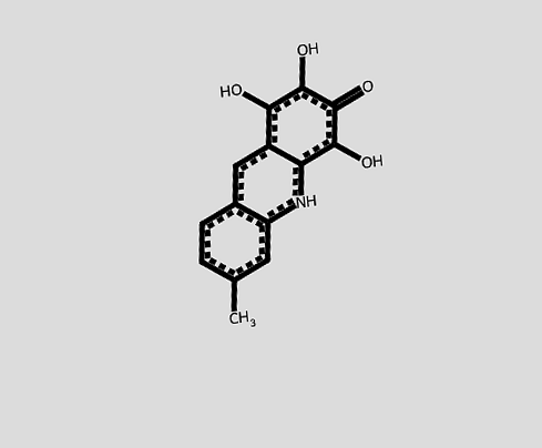 Cc1ccc2cc3c(O)c(O)c(=O)c(O)c-3[nH]c2c1